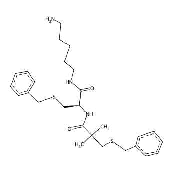 CC(C)(CSCc1ccccc1)C(=O)N[C@@H](CSCc1ccccc1)C(=O)NCCCCCN